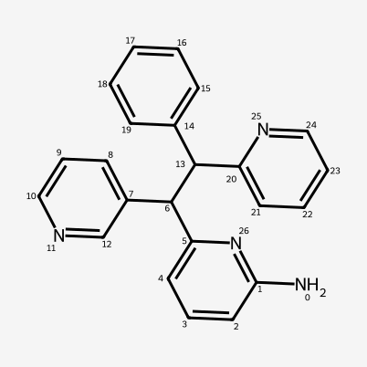 Nc1cccc(C(c2cccnc2)C(c2ccccc2)c2ccccn2)n1